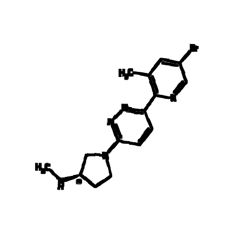 CN[C@@H]1CCN(c2ccc(-c3ncc(Br)cc3C)nn2)C1